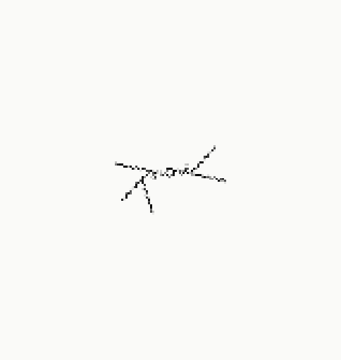 CCCCCCCCCN(CCCCCCC)CCN(CCCCCCCCC)CC(=O)OCC1CCC(COC(=O)CN(CCCCCCCCC)CCCCCCCCC)CC1